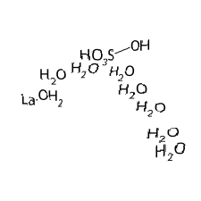 O.O.O.O.O.O.O.O.O=S(=O)(O)O.[La]